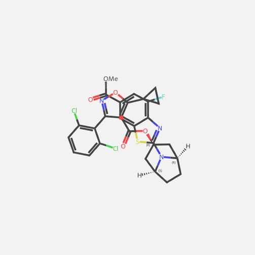 COC(=O)c1cc(F)c2nc(N3[C@@H]4CC[C@H]3C[C@@H](OC(=O)c3c(-c5c(Cl)cccc5Cl)noc3C3CC3)C4)sc2c1